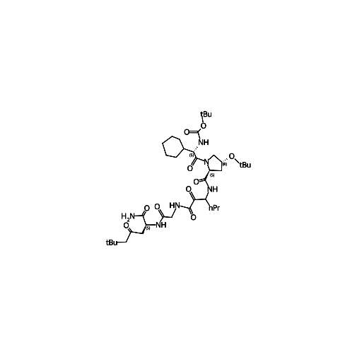 CCCC(NC(=O)[C@@H]1C[C@@H](OC(C)(C)C)CN1C(=O)[C@@H](NC(=O)OC(C)(C)C)C1CCCCC1)C(=O)C(=O)NCC(=O)N[C@@H](CC(=O)CC(C)(C)C)C(N)=O